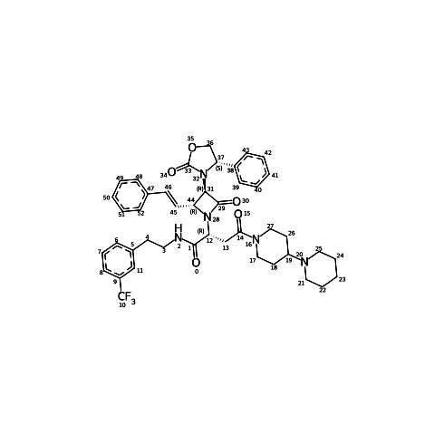 O=C(NCCc1cccc(C(F)(F)F)c1)[C@@H](CC(=O)N1CCC(N2CCCCC2)CC1)N1C(=O)[C@H](N2C(=O)OC[C@@H]2c2ccccc2)[C@H]1C=Cc1ccccc1